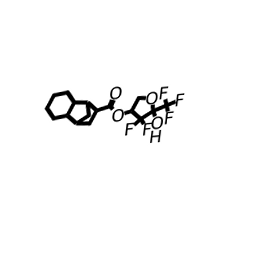 O=C(OC1COC(O)(C(F)(F)F)C1(F)F)C1CC2CC1C1CCCCC21